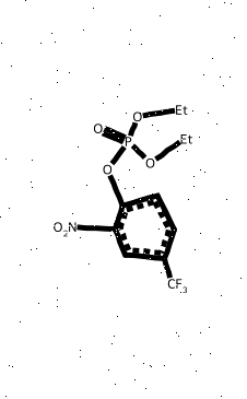 CCOP(=O)(OCC)Oc1ccc(C(F)(F)F)cc1[N+](=O)[O-]